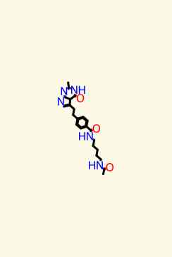 CC(=O)NCCCCCNC(=O)c1ccc(CCC2=CN=C3N=C(C)NC(=O)C23)cc1